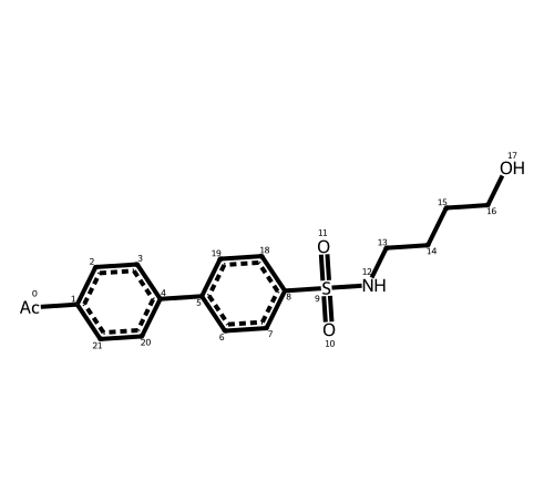 CC(=O)c1ccc(-c2ccc(S(=O)(=O)NCCCCO)cc2)cc1